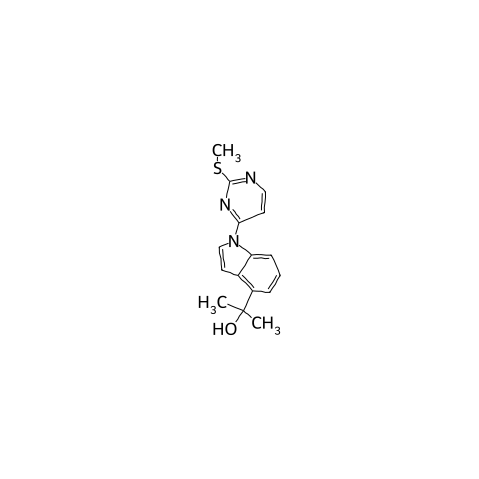 CSc1nccc(-n2ccc3c(C(C)(C)O)cccc32)n1